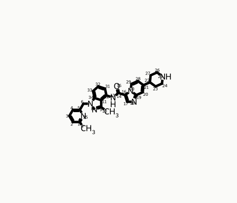 Cc1cccc(Cn2nc(C)c3c(NC(=O)c4cnc5cc(C6CCNCC6)ccn45)cccc32)n1